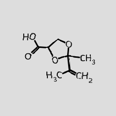 C=C(C)C1(C)OCC(C(=O)O)O1